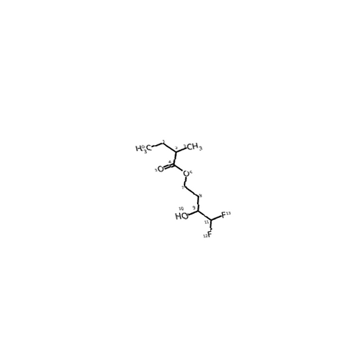 CCC(C)C(=O)OCCC(O)C(F)F